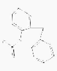 O=C(Cl)Nc1ccccc1Cc1ccccc1